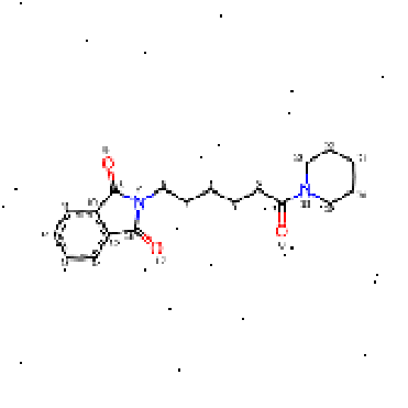 O=C(CCCCCN1C(=O)c2ccccc2C1=O)N1CCCCC1